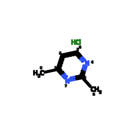 Cc1ccnc(C)n1.Cl